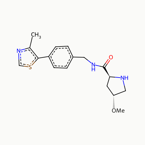 CO[C@H]1CN[C@H](C(=O)NCc2ccc(-c3scnc3C)cc2)C1